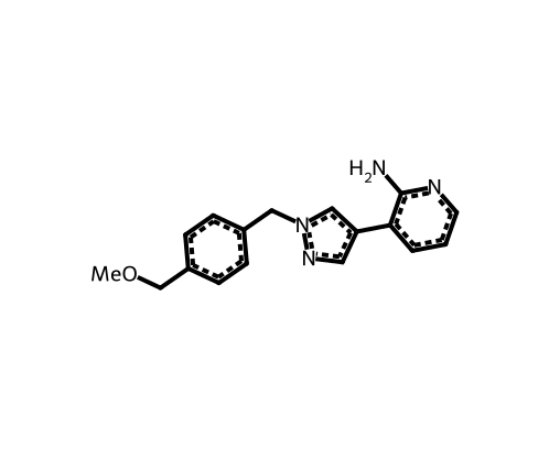 COCc1ccc(Cn2cc(-c3cccnc3N)cn2)cc1